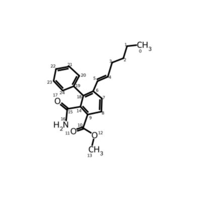 CCCCC=Cc1ccc(C(=O)OC)c(C(N)=O)c1-c1ccccc1